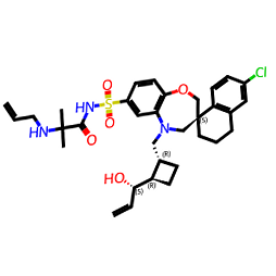 C=CCNC(C)(C)C(=O)NS(=O)(=O)c1ccc2c(c1)N(C[C@@H]1CC[C@H]1[C@@H](O)C=C)C[C@@]1(CCCc3cc(Cl)ccc31)CO2